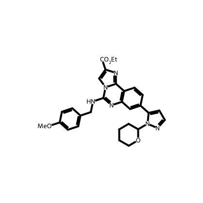 CCOC(=O)c1cn2c(NCc3ccc(OC)cc3)nc3cc(-c4ccnn4C4CCCCO4)ccc3c2n1